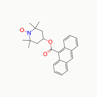 CC1(C)CC(OC(=O)c2c3ccccc3cc3ccccc23)CC(C)(C)N1[O]